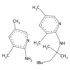 Cc1cnc(N)c(C)c1.Cc1cnc(NC(C)(C)CC(C)(C)C)c(C)c1